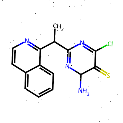 CC(C1=NC(N)C(=S)C(Cl)=N1)c1nccc2ccccc12